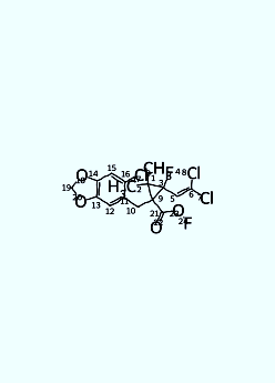 CC1(C)C(F)(C=C(Cl)Cl)C1(Cc1cc2c(cc1Cl)OCO2)C(=O)OF